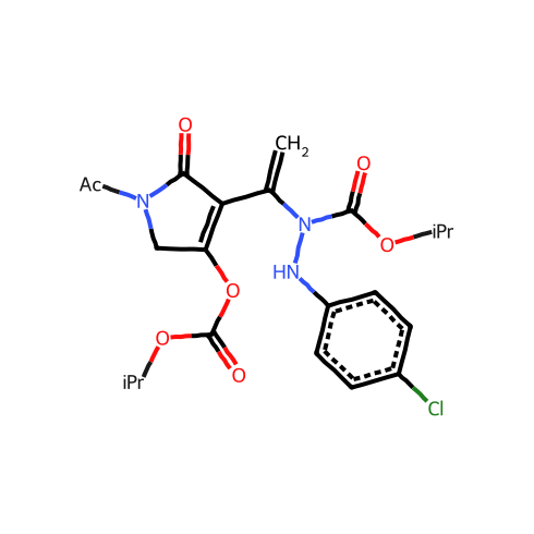 C=C(C1=C(OC(=O)OC(C)C)CN(C(C)=O)C1=O)N(Nc1ccc(Cl)cc1)C(=O)OC(C)C